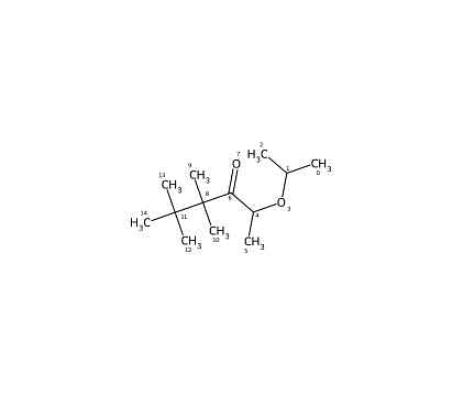 CC(C)OC(C)C(=O)C(C)(C)C(C)(C)C